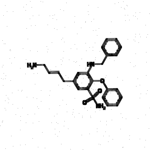 NCC=CCc1cc(NCc2ccccc2)c(Oc2ccccc2)c(S(N)(=O)=O)c1